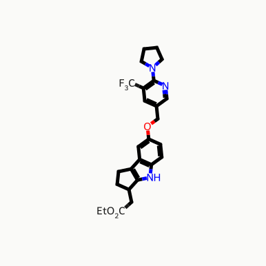 CCOC(=O)CC1CCc2c1[nH]c1ccc(OCc3cnc(N4CCCC4)c(C(F)(F)F)c3)cc21